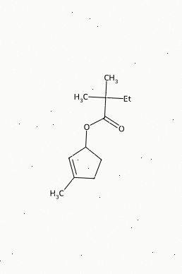 CCC(C)(C)C(=O)OC1C=C(C)CC1